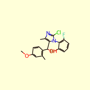 COc1ccc(C(O)c2c(C)nc(Cl)n2-c2c(F)cccc2Br)c(C)c1